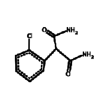 NC(=O)C(C(N)=O)c1ccccc1Cl